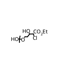 CCOC(=O)C(Cl)C(O)CCOC(C)(C)O